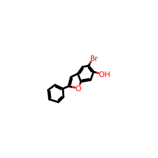 Oc1cc2oc(-c3ccccc3)cc2cc1Br